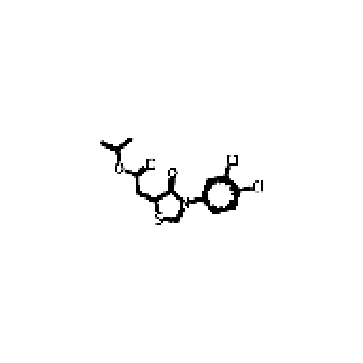 CC(C)OC(=O)CC1SCN(c2ccc(Cl)c(Cl)c2)C1=O